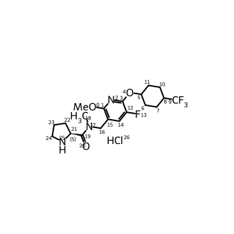 COc1nc(OC2CCC(C(F)(F)F)CC2)c(F)cc1CN(C)C(=O)[C@@H]1CCCN1.Cl